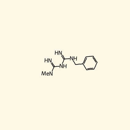 CNC(=N)NC(=N)NCc1ccccc1